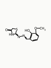 COc1cccc(/C=N/N=C2/NC(=O)CS2)c1O